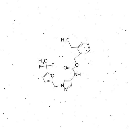 CCc1ccccc1COC(=O)Nc1cnn(Cc2ccc(C(C)(F)F)o2)c1